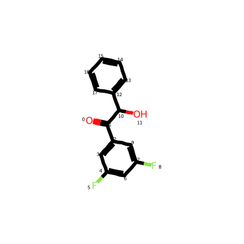 O=C(c1cc(F)cc(F)c1)C(O)c1ccccc1